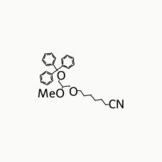 COC(COCCCCCCC#N)COC(c1ccccc1)(c1ccccc1)c1ccccc1